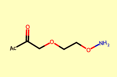 CC(=O)C(=O)COCCON